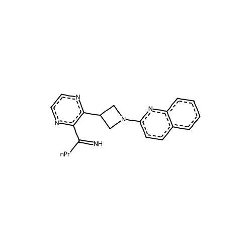 C[CH]CC(=N)c1nccnc1C1CN(c2ccc3ccccc3n2)C1